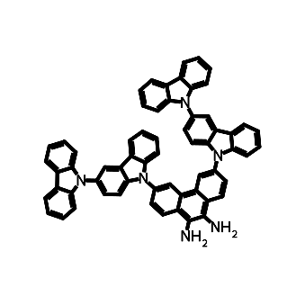 Nc1c(N)c2ccc(-n3c4ccccc4c4cc(-n5c6ccccc6c6ccccc65)ccc43)cc2c2cc(-n3c4ccccc4c4cc(-n5c6ccccc6c6ccccc65)ccc43)ccc12